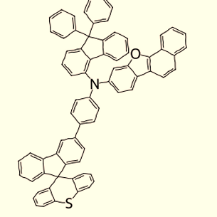 c1ccc(C2(c3ccccc3)c3ccccc3-c3c(N(c4ccc(-c5ccc6c(c5)-c5ccccc5C65c6ccccc6Sc6ccccc65)cc4)c4ccc5c(c4)oc4c6ccccc6ccc54)cccc32)cc1